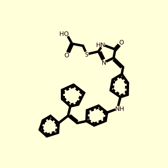 O=C(O)CSC1=N/C(=C\c2ccc(Nc3ccc(C=C(c4ccccc4)c4ccccc4)cc3)cc2)C(=O)N1